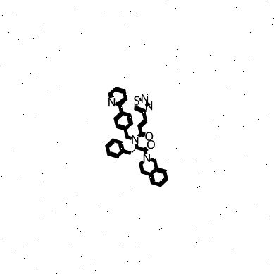 O=C([C@H](Cc1ccccc1)N(Cc1ccc(-c2ccccn2)cc1)C(=O)C=Cc1csnn1)N1CCc2ccccc2C1